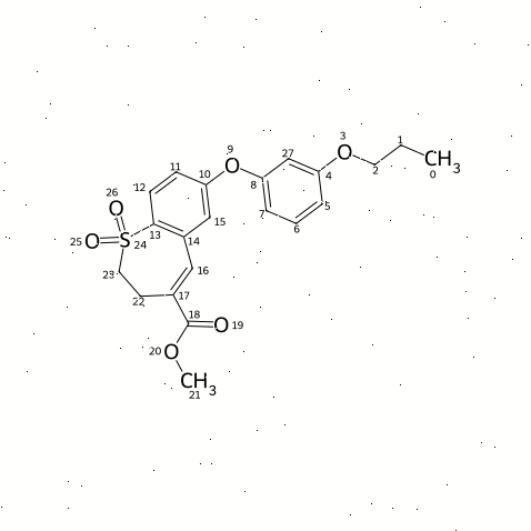 CCCOc1cccc(Oc2ccc3c(c2)C=C(C(=O)OC)CCS3(=O)=O)c1